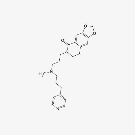 CN(CCCc1ccncc1)CCCN1CCc2cc3c(cc2C1=O)OCO3